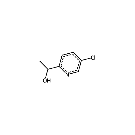 CC(O)c1ccc(Cl)cn1